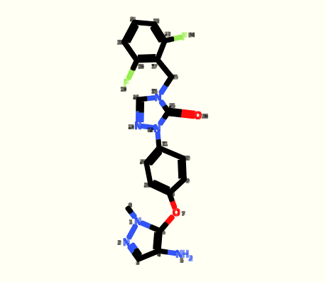 Cn1ncc(N)c1Oc1ccc(-n2ncn(Cc3c(F)cccc3F)c2=O)cc1